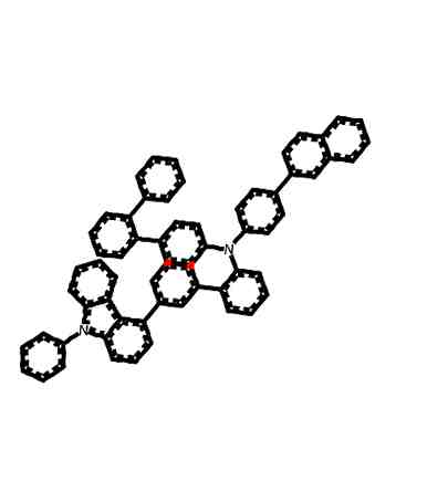 c1ccc(-c2ccccc2-c2ccc(N(c3ccc(-c4ccc5ccccc5c4)cc3)c3ccccc3-c3cccc(-c4cccc5c4c4ccccc4n5-c4ccccc4)c3)cc2)cc1